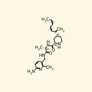 C=C(/C=C\C=C/C)[C@@H]1CCN[C@@H](C(=O)N[C@@H](C)C(=O)NCc2ccc(N)nc2C)C1